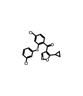 O=C(c1ccc(Cl)cc1Sc1cccc(Cl)c1)c1cnoc1C1CC1